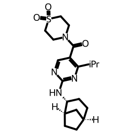 CC(C)c1nc(N[C@@H]2CC[C@H]3CC[C@@H]2C3)ncc1C(=O)N1CCS(=O)(=O)CC1